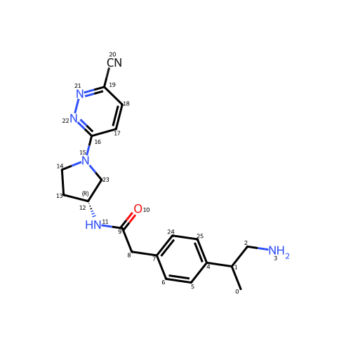 CC(CN)c1ccc(CC(=O)N[C@@H]2CCN(c3ccc(C#N)nn3)C2)cc1